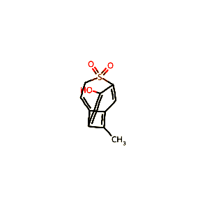 Cc1c2cc3c(O)c1c2=CCS3(=O)=O